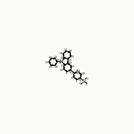 C[Si](C)(C)c1ccc(-c2ccc3c(c2)c2ccccc2n3-c2ccccc2)nc1